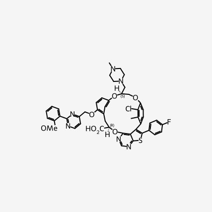 COc1ccccc1-c1nccc(COc2ccc3cc2C[C@H](C(=O)O)Oc2ncnc4sc(-c5ccc(F)cc5)c(c24)-c2ccc(c(Cl)c2C)OC[C@H](CN2CCN(C)CC2)O3)n1